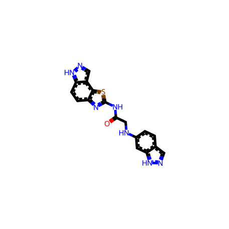 O=C(CNc1ccc2cn[nH]c2c1)Nc1nc2ccc3[nH]ncc3c2s1